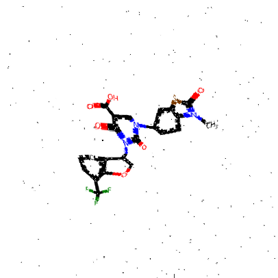 Cn1c(=O)sc2cc(-n3cc(C(=O)O)c(=O)n(C4COc5c4cccc5C(F)(F)F)c3=O)ccc21